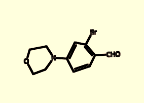 O=Cc1ccc(N2CCOCC2)cc1Br